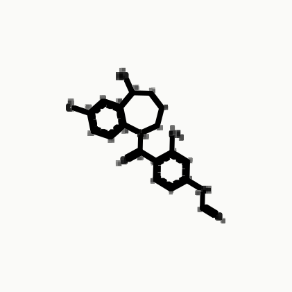 Cc1cc(NC=O)ccc1C(=O)N1CCCC(O)c2cc(Cl)ccc21